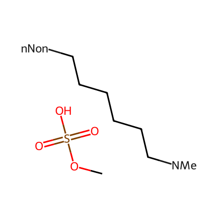 CCCCCCCCCCCCCCCNC.COS(=O)(=O)O